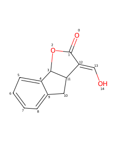 O=C1OC2c3ccccc3CC2C1=CO